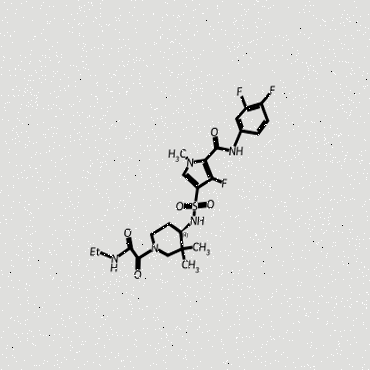 CCNC(=O)C(=O)N1CC[C@@H](NS(=O)(=O)c2cn(C)c(C(=O)Nc3ccc(F)c(F)c3)c2F)C(C)(C)C1